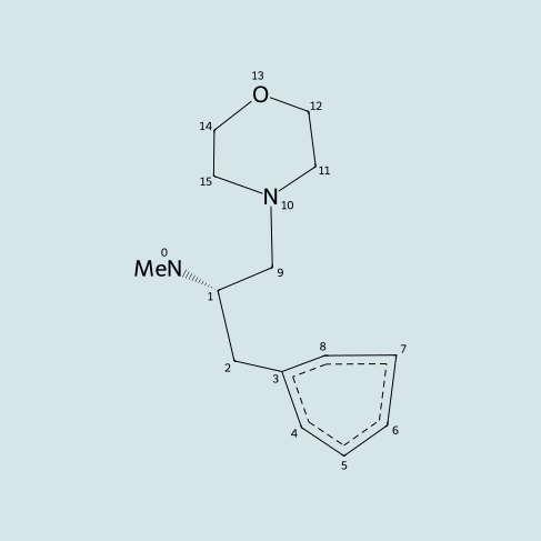 CN[C@@H](Cc1ccccc1)CN1CCOCC1